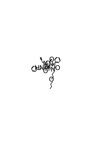 C#CCN1CC(=O)N2[C@@H](c3ccccc3)C(=O)N(CCCOCCCC)C[C@@H]2N1C(=O)NCc1ccccc1